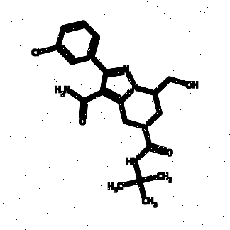 CC(C)(C)NC(=O)N1Cc2c(C(N)=O)c(-c3cccc(Cl)c3)nn2C(CO)C1